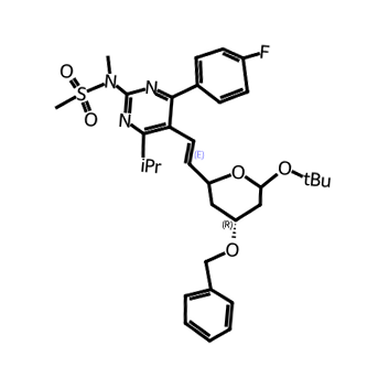 CC(C)c1nc(N(C)S(C)(=O)=O)nc(-c2ccc(F)cc2)c1/C=C/C1C[C@@H](OCc2ccccc2)CC(OC(C)(C)C)O1